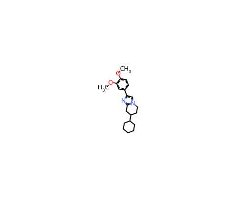 COc1ccc(-c2cn3c(n2)CC(C2CCCCC2)CC3)cc1OC